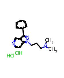 CN(C)CCCn1nc(-c2ccccc2)c2cnccc21.Cl.Cl